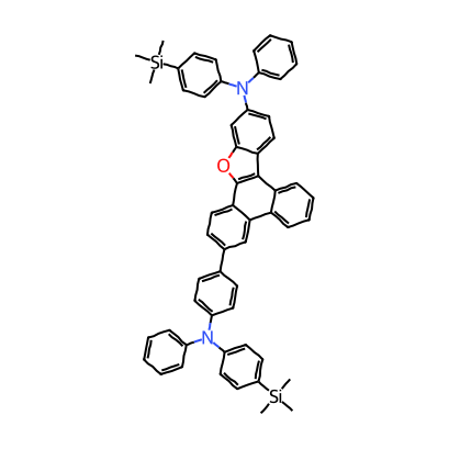 C[Si](C)(C)c1ccc(N(c2ccccc2)c2ccc(-c3ccc4c(c3)c3ccccc3c3c5ccc(N(c6ccccc6)c6ccc([Si](C)(C)C)cc6)cc5oc43)cc2)cc1